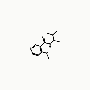 COc1ccncc1C(=O)N[C@H](C)C(C)C